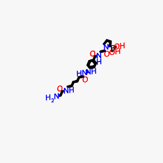 NCC(=O)NCCCCCC(=O)NNc1ccc(C(=O)NCC(=O)N2CCC[C@H]2B(O)O)cc1